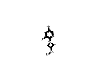 CCOC1CN(c2ncc(Br)cc2F)C1